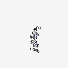 O=C(/C=C/c1ccc(Sc2ccc(/C=C/C(=O)NCCCN3C(=O)CC[C@H]3CO)c(-c3ccccc3Br)c2Cl)c(Cl)c1-c1ccccc1Br)NCCCN1C(=O)CC[C@H]1CO